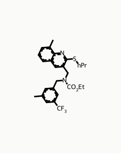 CCCSc1nc2c(C)cccc2cc1CN(Cc1cc(C)cc(C(F)(F)F)c1)C(=O)OCC